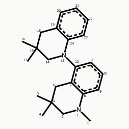 CN1CC(C)(C)Cc2c1cccc2N1CC(C)(C)Cc2ccccc21